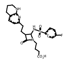 O=C(O)CCCN1C(=O)C(CCc2ccc3c(n2)NCCC3)C1NS(=O)(=O)c1ccc(F)cc1